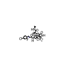 CC(C)(C)CC(NC(=O)/C=C/c1ccc(Cl)cc1F)C(=O)NC(C[C@@H]1CCNC1=O)C(=O)C(=O)NC1CC1